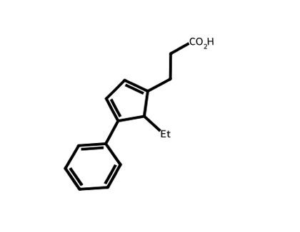 CCC1C(CCC(=O)O)=CC=C1c1ccccc1